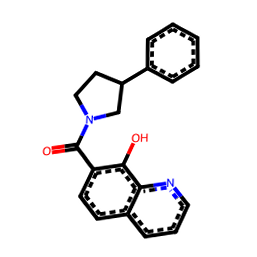 O=C(c1ccc2cccnc2c1O)N1CCC(c2ccccc2)C1